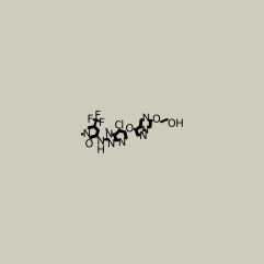 Cn1cc(C(F)(F)F)cc(Nc2nc3ncc(Oc4cnn5cc(OCCO)ncc45)c(Cl)c3n2C)c1=O